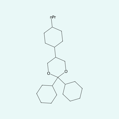 CCCC1CCC(C2COC(C3CCCCC3)(C3CCCCC3)OC2)CC1